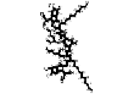 [C-]#[N+]/C(C#N)=C1\C(=C\c2sc3c(sc4c5c6nsnc6c6c7sc8c(CCCCCCCCCCC)c(/C=C9\C(=O)c%10cc(Cl)c(Cl)cc%10\C9=C(\C#N)[N+]#[C-])sc8c7n(CC(CC)CCCC)c6c5n(CC(CC)CCCC)c34)c2CCCCCCCCCCC)C(=O)c2cc(Cl)c(Cl)cc21